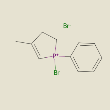 CC1=C[P+](Br)(c2ccccc2)CC1.[Br-]